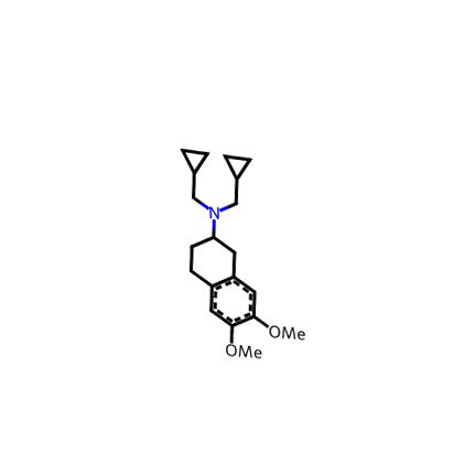 COc1cc2c(cc1OC)CC(N(CC1CC1)CC1CC1)CC2